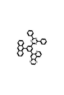 c1ccc(-c2nc(-c3ccccc3)nc(-c3cc(-c4c5ccccc5cc5ccccc45)cc(-c4cc5nccnc5c5cccnc45)c3)n2)cc1